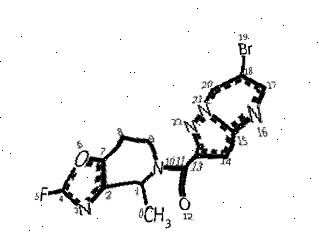 CC1c2nc(F)oc2CCN1C(=O)c1cc2ncc(Br)cn2n1